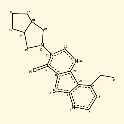 CCc1ccnc2sc3c(=O)n(N4CC5CCCC5C4)cnc3c12